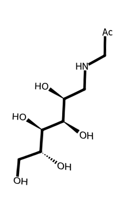 CC(=O)CNC[C@H](O)[C@@H](O)[C@H](O)[C@H](O)CO